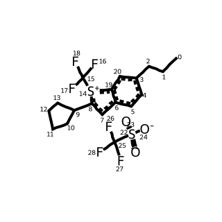 CCCc1ccc2cc(C3CCCC3)[s+](C(F)(F)F)c2c1.O=S(=O)([O-])C(F)(F)F